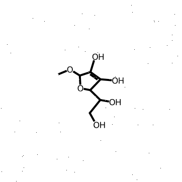 COC1OC(C(O)CO)C(O)=C1O